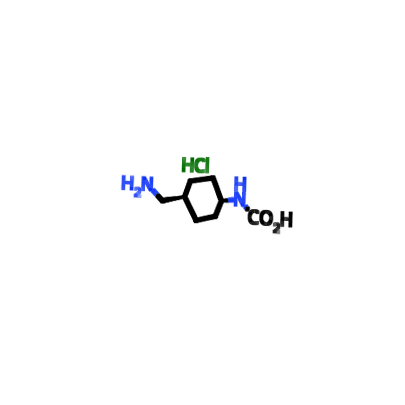 Cl.NC[C@H]1CC[C@@H](NC(=O)O)CC1